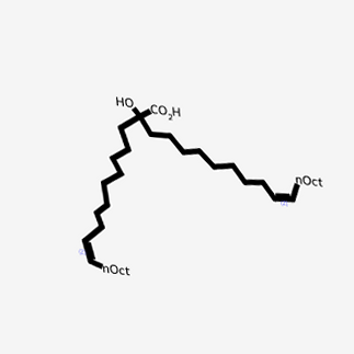 CCCCCCCC/C=C\CCCCCCCCC(O)(CCCCCCCC/C=C\CCCCCCCC)C(=O)O